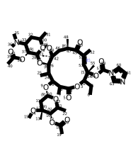 CCC1OC(=O)C(C)C(O[C@H]2C[C@@](C)(OC)[C@@H](OC(C)=O)C(C)O2)C(C)[C@@H](OC2OC(C)CC(N(C)C)[C@H]2OC(C)=O)[C@@](C)(OC)C[C@@H](C)C(=O)/C(C)=C/[C@]1(C)OC(=O)n1ccnc1